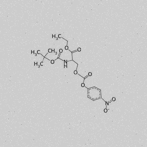 CCOC(=O)C(COC(=O)Oc1ccc([N+](=O)[O-])cc1)NC(=O)OC(C)(C)C